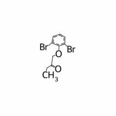 CCC(=O)COc1c(Br)cccc1Br